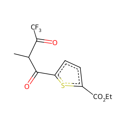 CCOC(=O)c1ccc(C(=O)C(C)C(=O)C(F)(F)F)s1